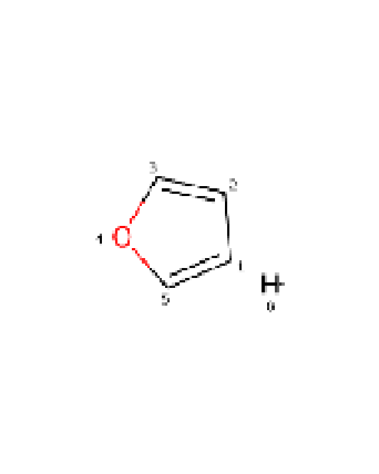 [H].c1ccoc1